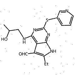 CCc1[nH]c2nc(Sc3cccnc3)nc(NCC(C)O)c2c1C=O